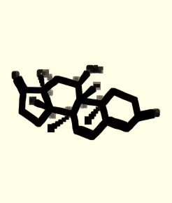 CC(=O)O[C@@H]1C[C@]2(C)C(=O)CC[C@H]2[C@@H]2C=CC3=CC(=O)CC[C@@H]3[C@H]21